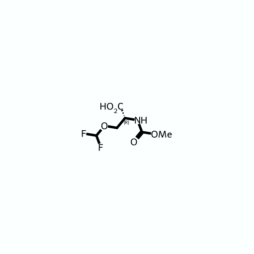 COC(=O)N[C@H](COC(F)F)C(=O)O